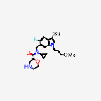 COCCCn1cc(C(C)(C)C)c2cc(F)c(CN(C(=O)[C@H]3CNCCO3)C3CC3)cc21